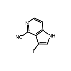 N#Cc1nccc2[nH]cc(I)c12